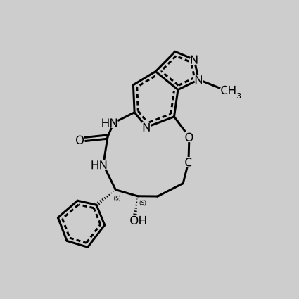 Cn1ncc2cc3nc(c21)OCCC[C@H](O)[C@H](c1ccccc1)NC(=O)N3